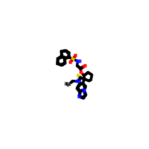 CCNC(=S)C1(c2ccc3nccn3c2)CCCCC1OC(=O)CNS(=O)(=O)c1cccc2ccccc12